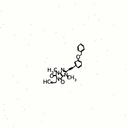 C#CCn1c(=O)c2c(nc(C#Cc3cccc(OCc4ccccc4)c3)n2C)n(C)c1=O